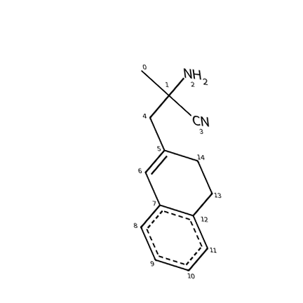 CC(N)(C#N)CC1=Cc2ccccc2CC1